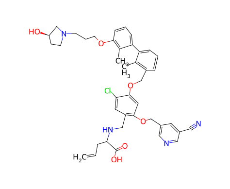 C=CCC(NCc1cc(Cl)c(OCc2cccc(-c3cccc(OCCCN4CC[C@@H](O)C4)c3C)c2C)cc1OCc1cncc(C#N)c1)C(=O)O